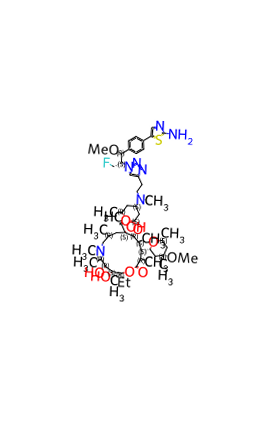 C#C[C@@]1(O)C[C@@H](C)CN(C)[C@H](C)[C@@H](O)[C@](C)(O)[C@@H](CC)OC(=O)[C@H](C)[C@@H](C2C[C@@](C)(OC)C[C@H](C)O2)[C@H](C)[C@H]1O[C@H]1C[C@@H](N(C)CCc2cn([C@H](CF)[C@H](OC)c3ccc(-c4cnc(N)s4)cc3)nn2)C[C@@H](C)O1